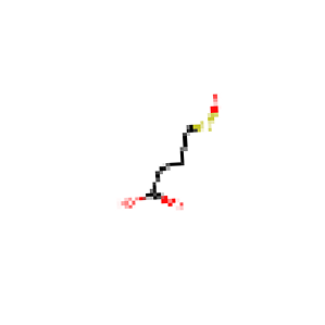 O=S=CCCC(=O)O